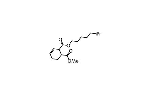 COC(=O)C1CCC=CC1C(=O)OCCCCCC(C)C